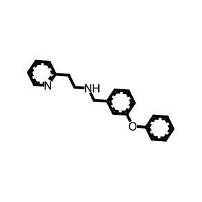 c1ccc(Oc2cccc(CNCCc3ccccn3)c2)cc1